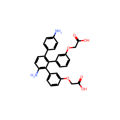 Nc1ccc(-c2ccc(N)c(-c3cccc(OCC(=O)O)c3)c2-c2cccc(OCC(=O)O)c2)cc1